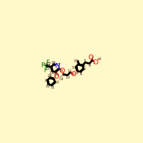 COC(=O)CCc1ccc(OCC[C@H](C)Oc2ncc(C(F)(F)F)cc2Oc2ccccc2)cc1C